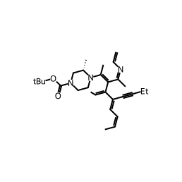 C=C\N=C(C)/C(C(=C\C)/C(C#CCC)=C/C=C\C)=C(\C)N1CCN(C(=O)OC(C)(C)C)C[C@@H]1C